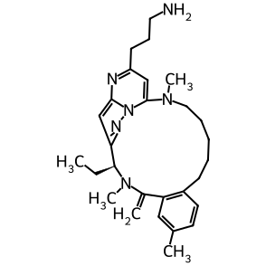 C=C1c2cc(C)ccc2CCCCCN(C)c2cc(CCCN)nc3cc(nn23)[C@H](CC)N1C